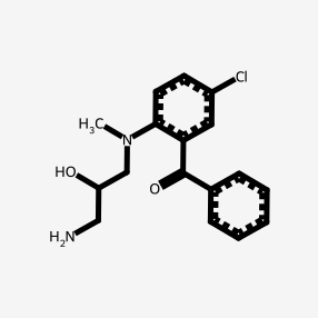 CN(CC(O)CN)c1ccc(Cl)cc1C(=O)c1ccccc1